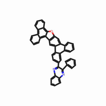 c1ccc(-c2nc3ccccc3nc2-c2ccc3c(c2)c2ccccc2c2cc4oc5c6ccccc6c6ccccc6c5c4cc32)cc1